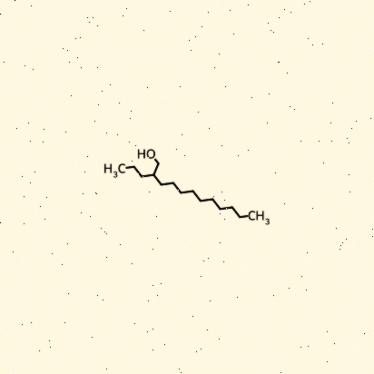 CCCCCCCCCCC(CO)CCC